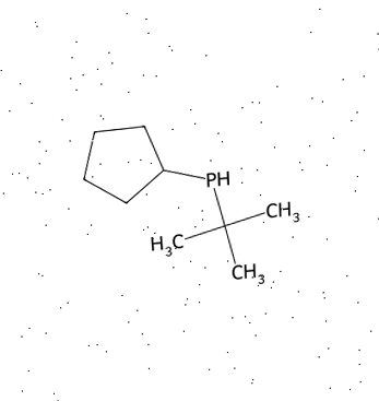 CC(C)(C)PC1CCCC1